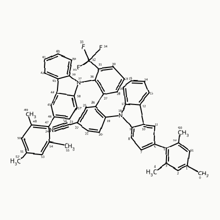 Cc1cc(C)c(-c2ccc3c(c2)c2ccccc2n3-c2ccc(C#N)cc2-c2cccc(C(F)(F)F)c2-n2c3ccccc3c3cc(-c4c(C)cc(C)cc4C)ccc32)c(C)c1